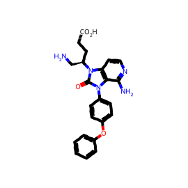 NC[C@@H](CCC(=O)O)n1c(=O)n(-c2ccc(Oc3ccccc3)cc2)c2c(N)nccc21